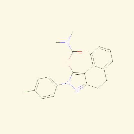 CN(C)C(=O)Oc1c2c(nn1-c1ccc(F)cc1)CCc1ccccc1-2